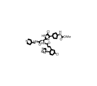 COC(=O)Nc1ccc(-c2nc([C@H](CC(=O)NCc3ccncc3)NC(=O)/C=C/c3cc(Cl)ccc3-n3cnnn3)[nH]c2Cl)cc1